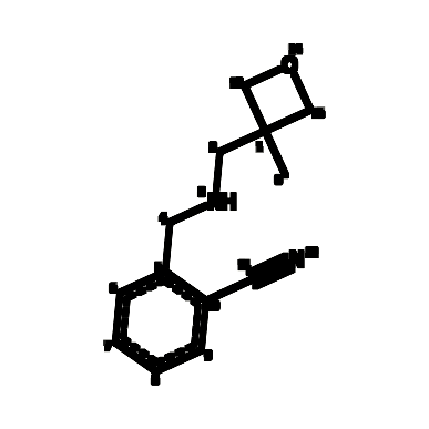 CC1(CN[CH]c2ccccc2C#N)COC1